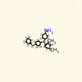 Cc1ccc(C(c2ccc(N)cc2)c2ccc(Cc3ccccc3)cc2)c(C)c1